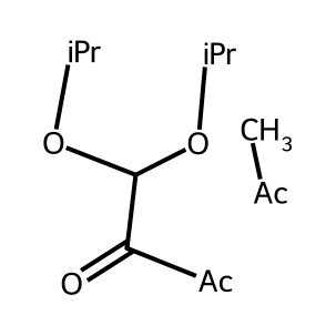 CC(=O)C(=O)C(OC(C)C)OC(C)C.CC(C)=O